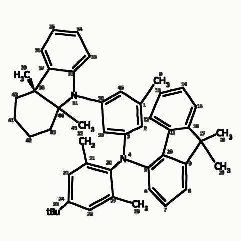 Cc1cc(N(c2cccc3c2-c2ccccc2C3(C)C)c2c(C)cc(C(C)(C)C)cc2C)cc(N2c3ccccc3[C@@]3(C)CCCCC23C)c1